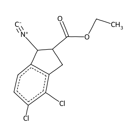 [C-]#[N+]C1c2ccc(Cl)c(Cl)c2CC1C(=O)OCC